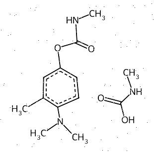 CNC(=O)O.CNC(=O)Oc1ccc(N(C)C)c(C)c1